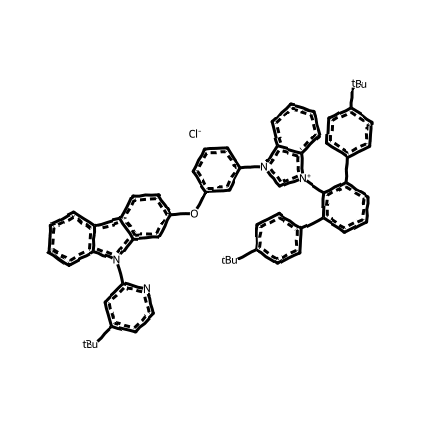 CC(C)(C)c1ccc(-c2cccc(-c3ccc(C(C)(C)C)cc3)c2-[n+]2cn(-c3cccc(Oc4ccc5c6ccccc6n(-c6cc(C(C)(C)C)ccn6)c5c4)c3)c3ccccc32)cc1.[Cl-]